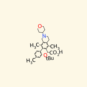 Cc1ccc(-c2c(C)c3c(c(C)c2C(OC(C)(C)C)C(=O)O)CCN(C2CCOCC2)C3)cc1